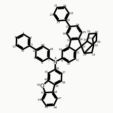 c1ccc(-c2ccc(N(c3ccc4c(c3)-c3cc(-c5ccccc5)ccc3C43C4CC5CC(C4)C3C5)c3ccc4c(c3)oc3ccccc34)cc2)cc1